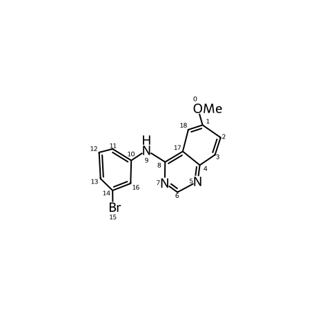 COc1ccc2ncnc(Nc3cccc(Br)c3)c2c1